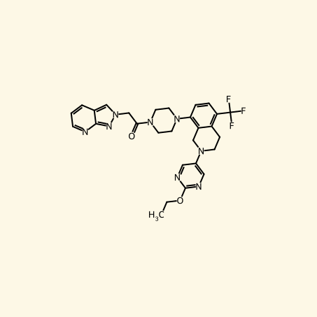 CCOc1ncc(N2CCc3c(C(F)(F)F)ccc(N4CCN(C(=O)Cn5cc6cccnc6n5)CC4)c3C2)cn1